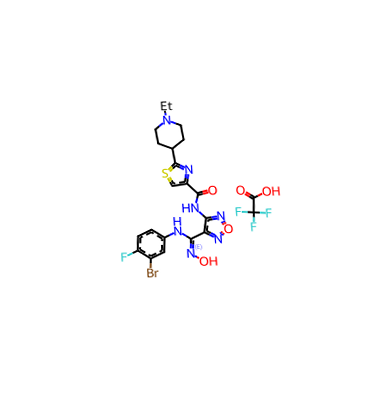 CCN1CCC(c2nc(C(=O)Nc3nonc3/C(=N\O)Nc3ccc(F)c(Br)c3)cs2)CC1.O=C(O)C(F)(F)F